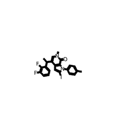 Cc1ccc(-n2c(I)cc3c(C(C)c4cccc(F)c4F)cn(C)c(=O)c32)cc1